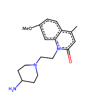 COc1ccc2c(C)cc(=O)n(CCN3CCC(N)CC3)c2c1